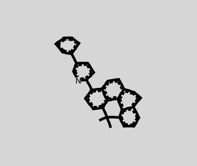 CC1(C)c2cccc3ccc4ccc5c(-c6ccc(-c7ccccc7)cn6)ccc1c5c4c23